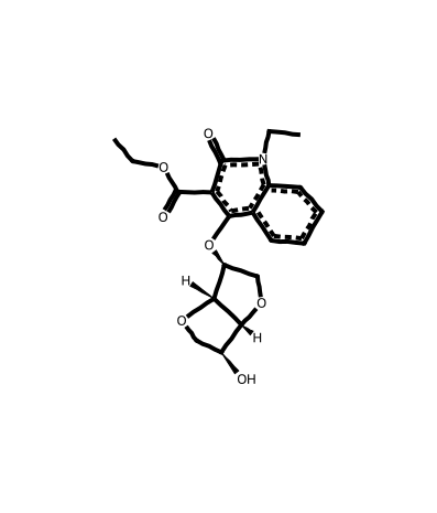 CCOC(=O)c1c(O[C@H]2CO[C@H]3[C@@H]2OC[C@@H]3O)c2ccccc2n(CC)c1=O